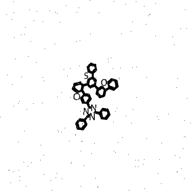 c1ccc(-c2nc(-c3ccccc3)nc(-c3ccc4c(c3)oc3cccc(-c5cc(-c6cccc7c6oc6ccccc67)cc6c5sc5ccccc56)c34)n2)cc1